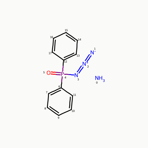 N.[N-]=[N+]=NP(=O)(c1ccccc1)c1ccccc1